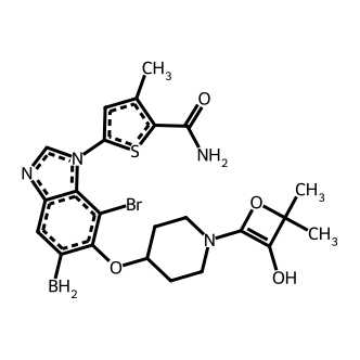 Bc1cc2ncn(-c3cc(C)c(C(N)=O)s3)c2c(Br)c1OC1CCN(C2=C(O)C(C)(C)O2)CC1